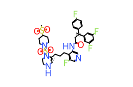 CS(=O)(=O)C1CCN(S(=O)(=O)N2CCNC[C@@H]2CCCc2c(F)cncc2NC(=O)C[C@@H](c2ccc(F)cc2)c2cc(F)cc(F)c2)CC1